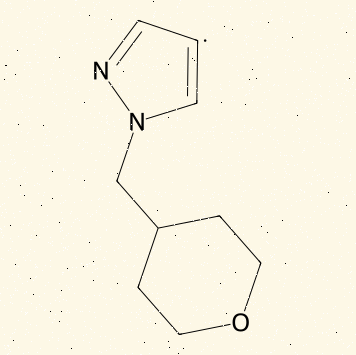 [c]1cnn(CC2CCOCC2)c1